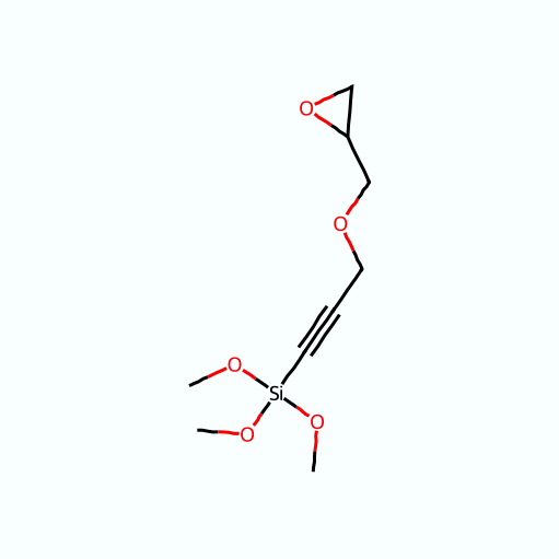 CO[Si](C#CCOCC1CO1)(OC)OC